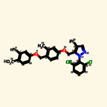 CCCc1cc(OCc2ccc(OCc3c(C(C)C)cnn3-c3c(Cl)cccc3Cl)cc2C)ccc1C(=O)O